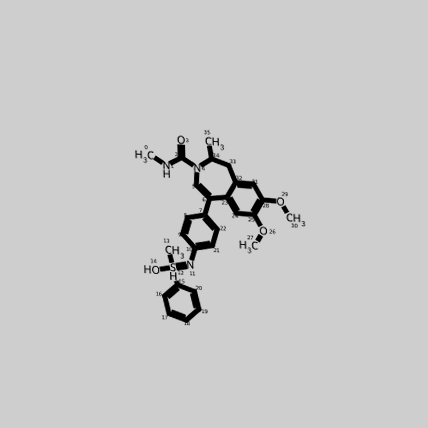 CNC(=O)N1C=C(c2ccc(N=[SH](C)(O)c3ccccc3)cc2)c2cc(OC)c(OC)cc2CC1C